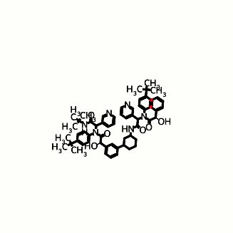 CC(C)(C)NC(=O)C(c1cccnc1)N(C(=O)[C@@H](O)c1cccc(C2CCCC(NC(=O)C(c3cccnc3)N(C(=O)[C@@H](O)c3ccccc3)c3ccc(C(C)(C)C)cc3)C2)c1)c1ccc(C(C)(C)C)cc1